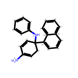 NC1=CCC(Nc2ccccc2)(c2cccc3ccccc23)C=C1